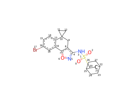 O=S(=O)(Nc1noc2c1CC1(CC1)c1ccc(Br)cc1-2)C1CC2CCC1CC2